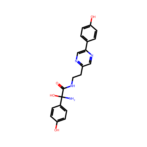 NC(O)(C(=O)NCCc1cnc(-c2ccc(O)cc2)cn1)c1ccc(O)cc1